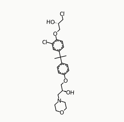 CC(C)(c1ccc(OC[C@@H](O)CN2CCOCC2)cc1)c1ccc(OC[C@H](O)CCl)c(Cl)c1